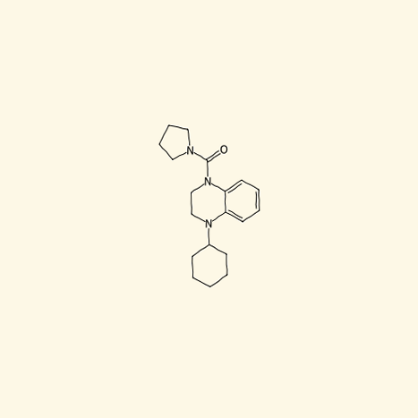 O=C(N1CCCC1)N1CCN(C2CCCCC2)c2ccccc21